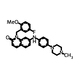 COc1ccc(F)cc1Cn1c(=O)ccc2ccc(Nc3ccc(N4CCN(C)CC4)cc3)cc21